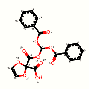 O=C(OC(OC(=O)c1ccccc1)OC(=O)C1(C(=O)O)OC=CO1)c1ccccc1